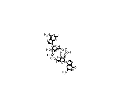 Nc1nc2c(ncn2[C@@H]2O[C@@H]3COP(=O)(O)O[C@H]4[C@@H](O)[C@H](n5cnc6c(N)nc(F)nc65)O[C@@H]4COP(=O)(O)O[C@@H]2[C@@H]3O)c(=O)[nH]1